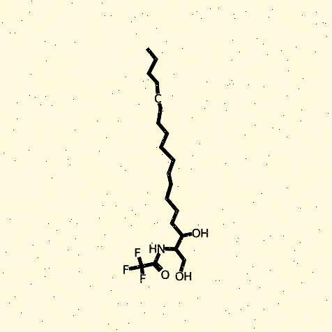 CCCCCCCCCCCCCCCC(O)C(CO)NC(=O)C(F)(F)F